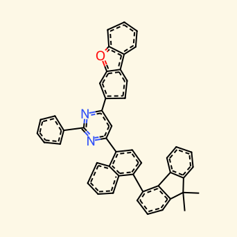 CC1(C)c2ccccc2-c2c(-c3ccc(-c4cc(-c5ccc6c(c5)oc5ccccc56)nc(-c5ccccc5)n4)c4ccccc34)cccc21